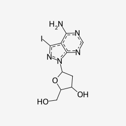 Nc1ncnc2c1c(I)nn2C1CC(O)C(CO)O1